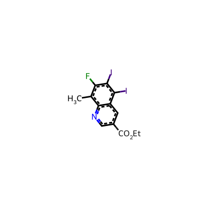 CCOC(=O)c1cnc2c(C)c(F)c(I)c(I)c2c1